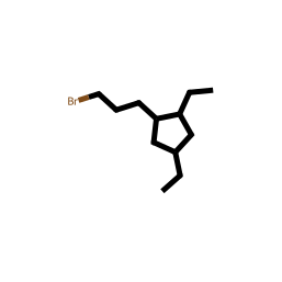 CCC1CC(CC)C(CCCBr)C1